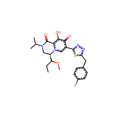 CCC(OC)[C@H]1CN(C(C)C)C(=O)c2c(O)c(=O)c(-c3nnc(Cc4ccc(F)cc4)s3)cn21